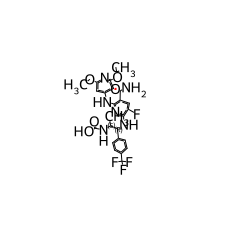 COc1cc(Nc2nc(N[C@H](c3ccc(C(F)(F)F)cc3)[C@H](C)NC(=O)O)c(F)cc2C(N)=O)cc(OC)n1